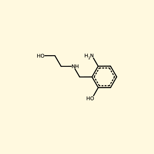 Nc1cccc(O)c1CNCCO